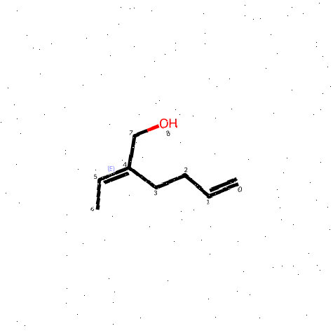 C=CCC/C(=C\C)CO